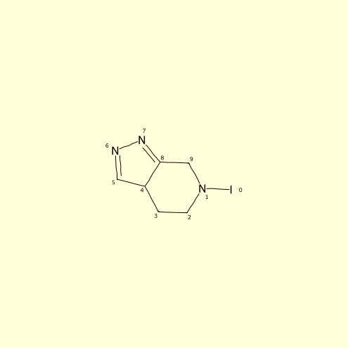 IN1CCC2C=NN=C2C1